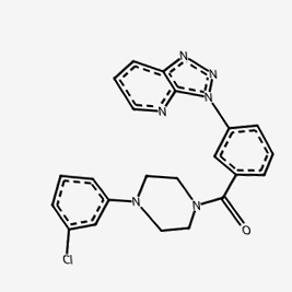 O=C(c1cccc(-n2nnc3cccnc32)c1)N1CCN(c2cccc(Cl)c2)CC1